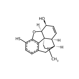 CN1CC[C@]23c4c5[c]cc(S)c4O[C@H]2[C@@H](O)C=C[C@H]3[C@H]1C5